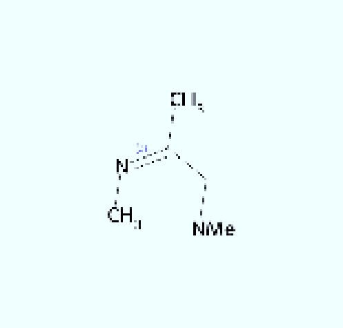 C/N=C(/C)CNC